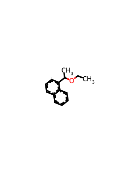 CCOC(C)c1[c]ccc2ccccc12